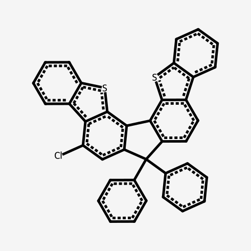 Clc1cc2c(c3sc4ccccc4c13)-c1c(ccc3c1sc1ccccc13)C2(c1ccccc1)c1ccccc1